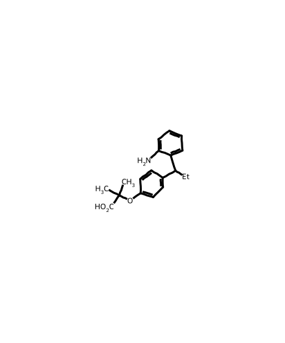 CCC(c1ccc(OC(C)(C)C(=O)O)cc1)c1ccccc1N